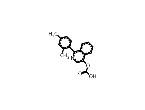 Cc1ccc(-c2ncc(OC(=O)O)c3ccccc23)c(C)c1